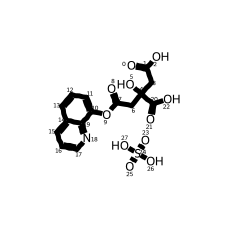 O=C(O)CC(O)(CC(=O)Oc1cccc2cccnc12)C(=O)O.O=S(=O)(O)O